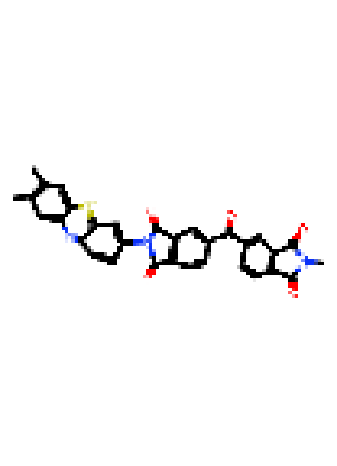 Cc1cc2nc3ccc(N4C(=O)c5ccc(C(=O)c6ccc7c(c6)C(=O)N(C)C7=O)cc5C4=O)cc3[s+]c2cc1C